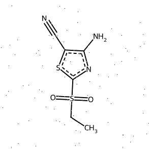 CCS(=O)(=O)c1nc(N)c(C#N)s1